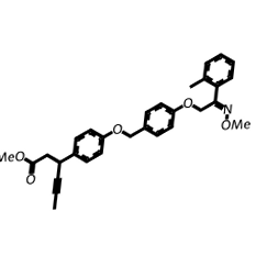 CC#CC(CC(=O)OC)c1ccc(OCc2ccc(OC/C(=N\OC)c3ccccc3C)cc2)cc1